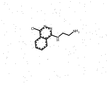 NCCNc1nnc(Cl)c2ccccc12